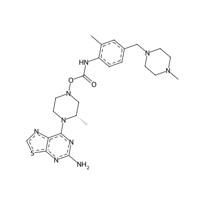 Cc1cc(CN2CCN(C)CC2)ccc1NC(=O)ON1CCN(c2nc(N)nc3scnc23)[C@@H](C)C1